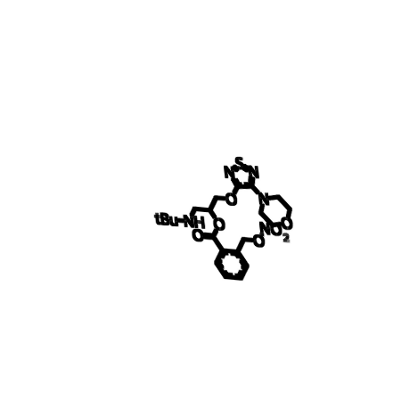 CC(C)(C)NCC(COc1nsnc1N1CCOCC1)OC(=O)c1ccccc1CO[N+](=O)[O-]